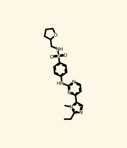 CCc1ncc(-c2ccnc(Nc3ccc(S(=O)(=O)NCC4CCCO4)cc3)n2)n1C